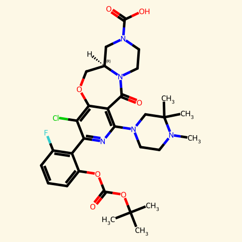 CN1CCN(c2nc(-c3c(F)cccc3OC(=O)OC(C)(C)C)c(Cl)c3c2C(=O)N2CCN(C(=O)O)C[C@@H]2CO3)CC1(C)C